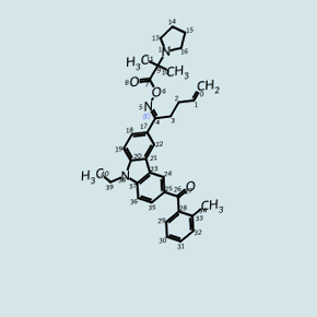 C=CCC/C(=N\OC(=O)C(C)(C)N1CCCC1)c1ccc2c(c1)c1cc(C(=O)c3ccccc3C)ccc1n2CC